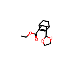 CCOC(=O)C1C2C=CC(CC2)C1C1OCCO1